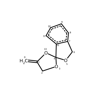 C=C1COC2(OCc3ccccc32)O1